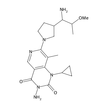 COC(C)C(N)C1CCN(c2ncc3c(=O)n(N)c(=O)n(C4CC4)c3c2C)C1